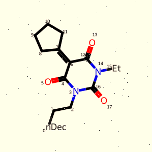 CCCCCCCCCCCCN1C(=O)C(=C2CCCC2)C(=O)N(CC)C1=O